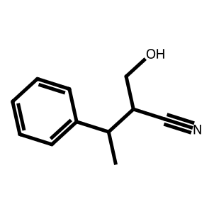 CC(c1ccccc1)C(C#N)CO